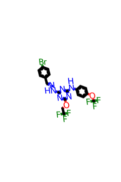 FC(F)(F)COc1nc(N/N=C/c2ccc(Br)cc2)nc(Nc2ccc(OC(F)(F)F)cc2)n1